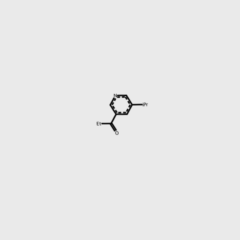 CCC(=O)c1cncc(C(C)C)c1